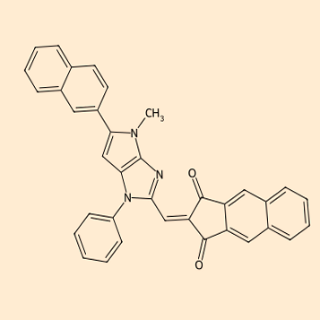 Cn1c(-c2ccc3ccccc3c2)cc2c1nc(C=C1C(=O)c3cc4ccccc4cc3C1=O)n2-c1ccccc1